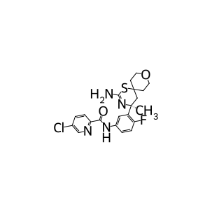 C[C@@]1(c2cc(NC(=O)c3ccc(Cl)cn3)ccc2F)CC2(CCOCC2)SC(N)=N1